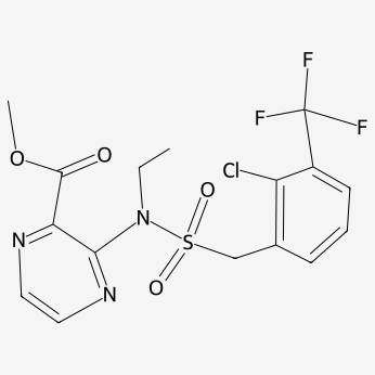 CCN(c1nccnc1C(=O)OC)S(=O)(=O)Cc1cccc(C(F)(F)F)c1Cl